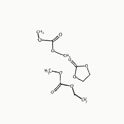 CCOC(=O)OC.COC(=O)OC.O=C1OCCO1